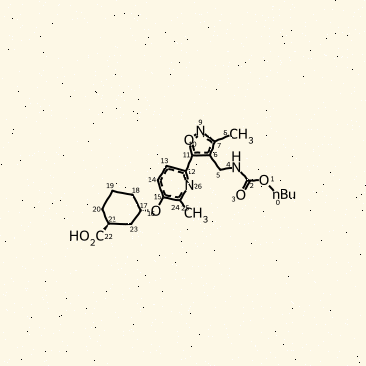 CCCCOC(=O)NCc1c(C)noc1-c1ccc(O[C@H]2CCC[C@H](C(=O)O)C2)c(C)n1